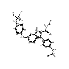 CCOC(=O)c1[nH]c2cc(Oc3ccc(OC(F)(F)F)cc3)ccc2c1-c1ccc(OC(C)C)cc1